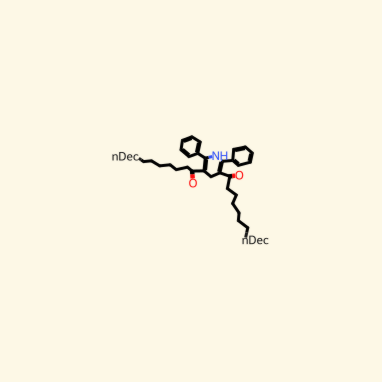 CCCCCCCCCCCCCCCCC(=O)C1=C(c2ccccc2)NC(c2ccccc2)=C(C(=O)CCCCCCCCCCCCCCCC)C1